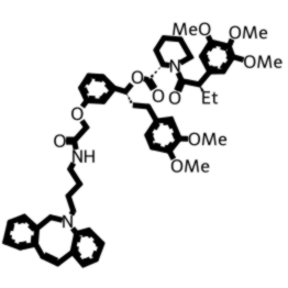 CC[C@H](C(=O)N1CCCC[C@H]1C(=O)O[C@H](CCc1ccc(OC)c(OC)c1)c1cccc(OCC(=O)NCCCCN2Cc3ccccc3/C=C\c3ccccc32)c1)c1cc(OC)c(OC)c(OC)c1